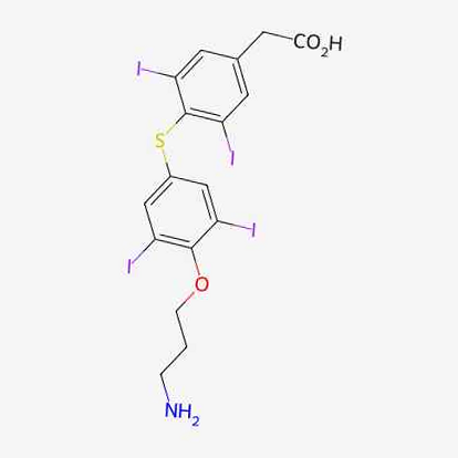 NCCCOc1c(I)cc(Sc2c(I)cc(CC(=O)O)cc2I)cc1I